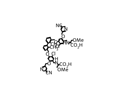 COC[C@H](NCc1cc(Cl)c(OCc2cccc(-c3cccc(COc4cc(OCc5cncc(C#N)c5)c(CN[C@@H](COC)C(=O)O)cc4Cl)c3C)c2C)cc1OCc1cncc(C#N)c1)C(=O)O